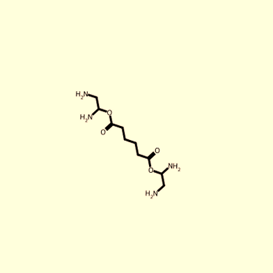 NCC(N)OC(=O)CCCCC(=O)OC(N)CN